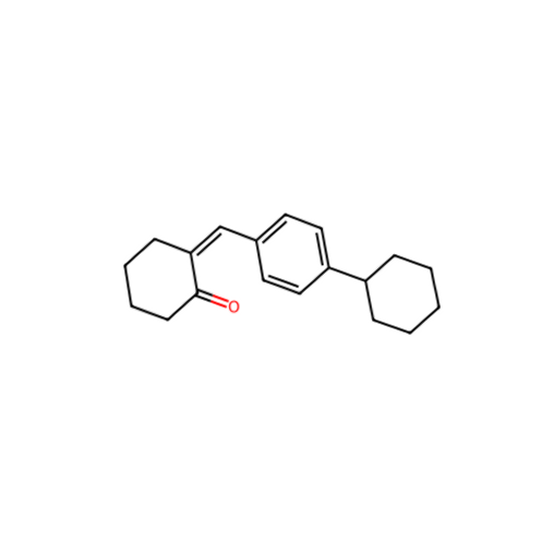 O=C1CCCCC1=Cc1ccc(C2CCCCC2)cc1